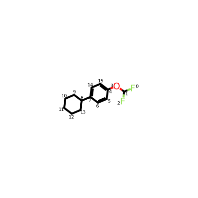 FC(F)Oc1ccc(C2CCCCC2)cc1